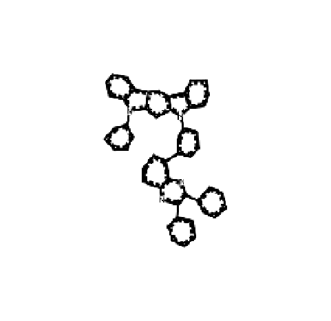 c1ccc(-c2nc3cccc(-c4cccc(-n5c6ccccc6c6cc7c8ccccc8n(-c8ccccc8)c7cc65)c4)c3nc2-c2ccccc2)cc1